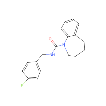 O=C(NCc1ccc(F)cc1)N1CCCCc2ccccc21